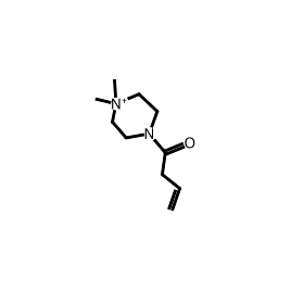 C=CCC(=O)N1CC[N+](C)(C)CC1